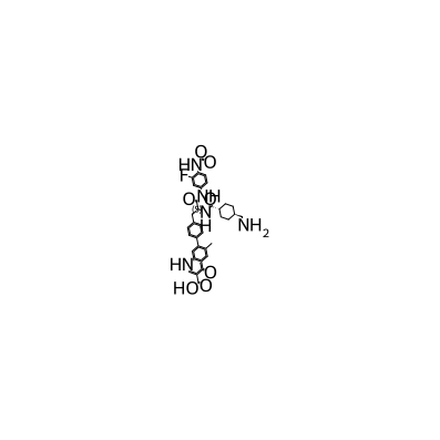 COC(=O)Nc1ccc(NC(=O)[C@H](Cc2ccc(-c3cc4[nH]cc(C(=O)O)c(=O)c4cc3C)cc2)NC(=O)[C@H]2CC[C@H](CN)CC2)cc1F